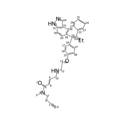 C#CCCN(C)C(=O)C=CCNCCOc1ccc(C(=C(CC)c2ccccc2)c2ccc3[nH]ncc3c2)cc1